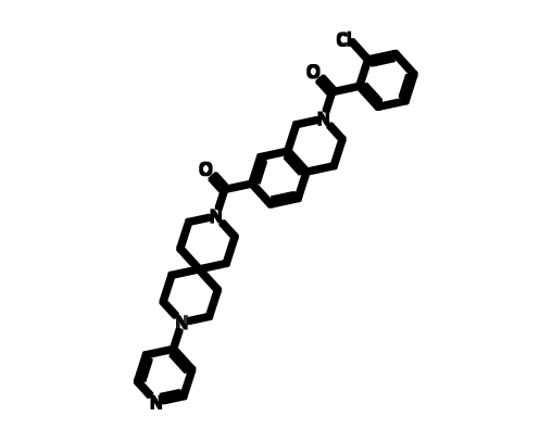 O=C(c1ccc2c(c1)CN(C(=O)c1ccccc1Cl)CC2)N1CCC2(CC1)CCN(c1ccncc1)CC2